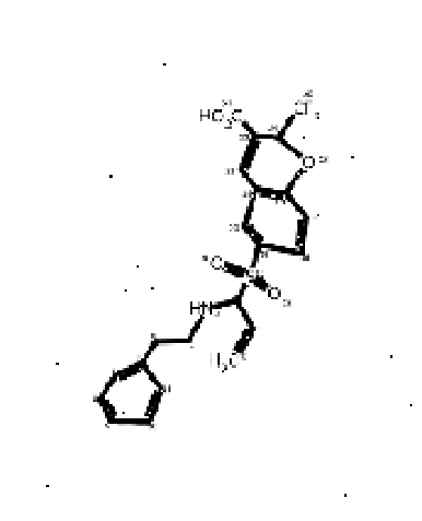 C=CC(NCCc1ccccc1)S(=O)(=O)c1ccc2c(c1)C=C(C(=O)O)C(C(F)(F)F)O2